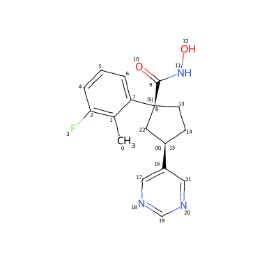 Cc1c(F)cccc1[C@]1(C(=O)NO)CC[C@@H](c2cncnc2)C1